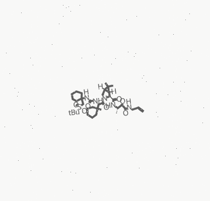 C=CCNC(=O)C(=O)[C@H](C)NC(=O)[C@@H]1[C@@H]2[C@H](CN1C(=O)[C@@H](NC(=O)NC1(CS(=O)(=O)C(C)(C)C)CCCCC1)C1(C)CCCCC1)C2(C)C